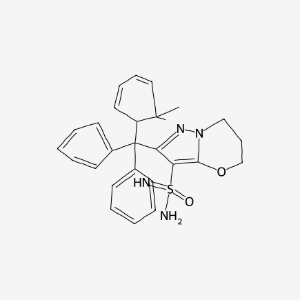 CC1(C)C=CC=CC1C(c1ccccc1)(c1ccccc1)c1nn2c(c1S(=N)(N)=O)OCCC2